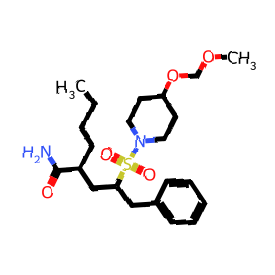 CCCCC(CC(Cc1ccccc1)S(=O)(=O)N1CCC(OCOC)CC1)C(N)=O